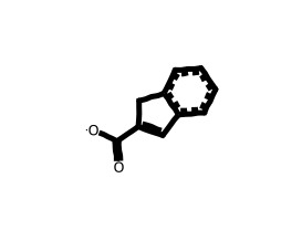 [O]C(=O)C1=Cc2ccccc2C1